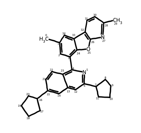 Cc1cc(-c2nc(C3CCCC3)cc3cc(C4CCCC4)ccc23)c2oc3nc(C)ccc3c2c1